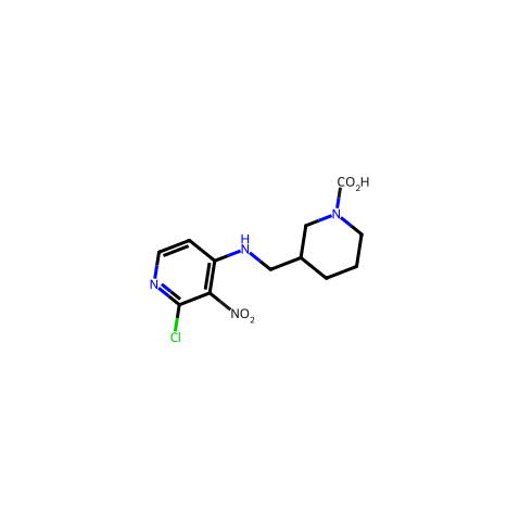 O=C(O)N1CCCC(CNc2ccnc(Cl)c2[N+](=O)[O-])C1